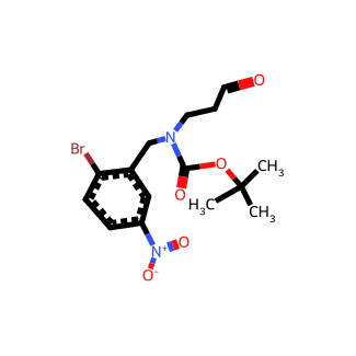 CC(C)(C)OC(=O)N(CCC=O)Cc1cc([N+](=O)[O-])ccc1Br